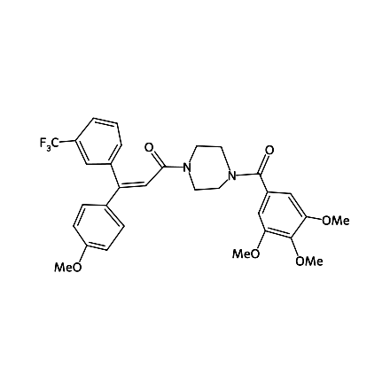 COc1ccc(C(=CC(=O)N2CCN(C(=O)c3cc(OC)c(OC)c(OC)c3)CC2)c2cccc(C(F)(F)F)c2)cc1